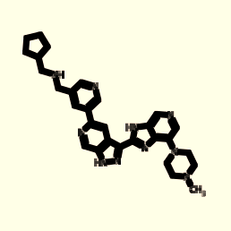 CN1CCN(c2cncc3[nH]c(-c4n[nH]c5cnc(-c6cncc(CNCC7CCCC7)c6)cc45)nc23)CC1